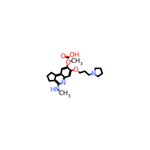 CNc1nc2cc(OCCCN3CCCC3)c(OC)cc2c2c1CCC2.O=CO